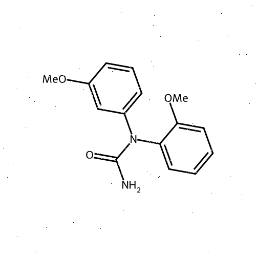 COc1cccc(N(C(N)=O)c2ccccc2OC)c1